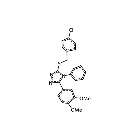 COc1ccc(-c2nnc(SCc3ccc(Cl)cc3)n2-c2ccccc2)cc1OC